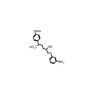 CCCCCCCCCc1ccc(C(CCC(O)CSc2cccc(N)c2)C(=O)O)cc1